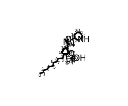 CCCCCCCCCCc1ccc(-c2noc(C3CCCCNC3)n2)cc1.O=C(O)C(F)(F)F